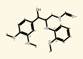 COc1ccc(C(O)C(COC=O)Oc2ccccc2OC)cc1OC